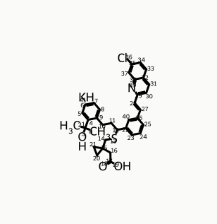 CC(C)(O)c1ccccc1CCC(SCC1(CC(=O)O)CC1)c1cccc(/C=C/c2ccc3ccc(Cl)cc3n2)c1.[KH]